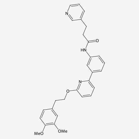 COc1ccc(CCOc2cccc(-c3cccc(NC(=O)CCc4cccnc4)c3)n2)cc1OC